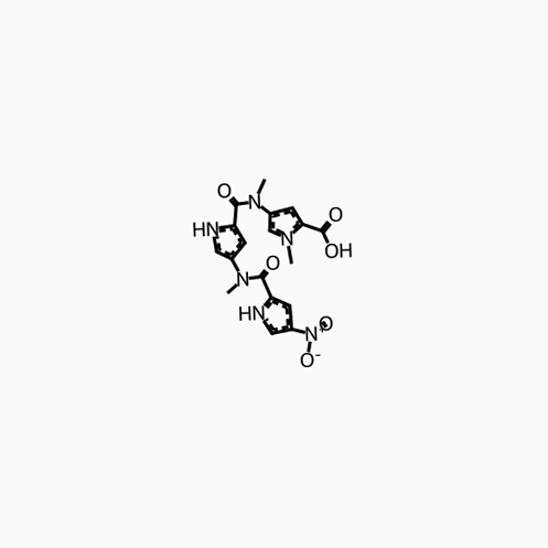 CN(C(=O)c1cc(N(C)C(=O)c2cc([N+](=O)[O-])c[nH]2)c[nH]1)c1cc(C(=O)O)n(C)c1